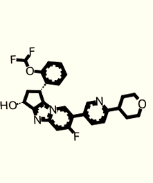 O[C@@H]1C[C@H](c2ccccc2OC(F)F)c2c1nc1cc(F)c(-c3ccc(C4CCOCC4)nc3)cn21